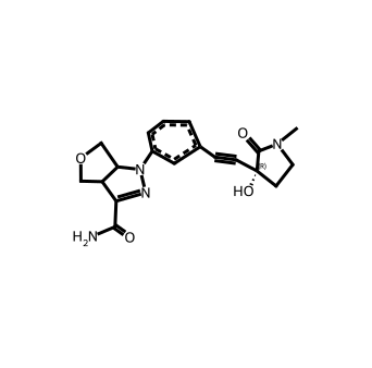 CN1CC[C@@](O)(C#Cc2cccc(N3N=C(C(N)=O)C4COCC43)c2)C1=O